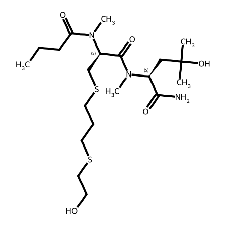 CCCC(=O)N(C)[C@H](CSCCCSCCO)C(=O)N(C)[C@@H](CC(C)(C)O)C(N)=O